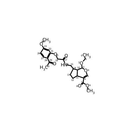 CCOC1OC=C(C(=O)OC)C2CCC(CNC(=O)COc3cc(OC)ccc3C(C)=O)C12